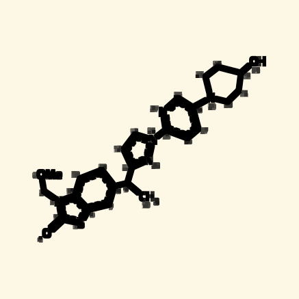 COCn1c(=O)sc2cc(C(C)c3ccn(-c4ccc(N5CCC(O)CC5)cn4)n3)ccc21